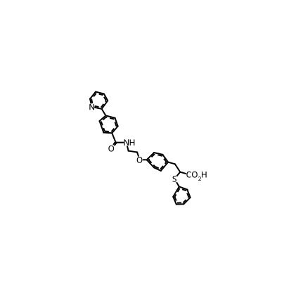 O=C(NCCOc1ccc(CC(Sc2ccccc2)C(=O)O)cc1)c1ccc(-c2ccccn2)cc1